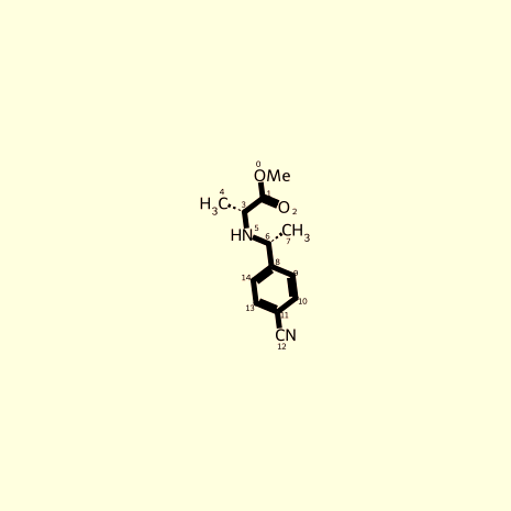 COC(=O)[C@@H](C)N[C@H](C)c1ccc(C#N)cc1